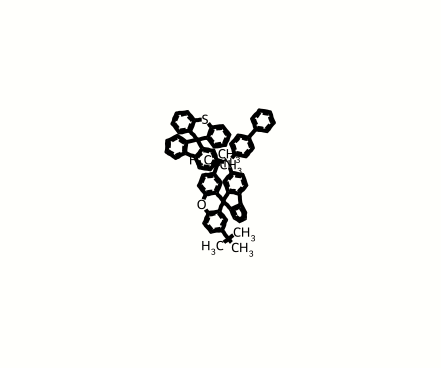 CC(C)(C)c1ccc2c(c1)C1(c3cc(C(C)(C)C)ccc3O2)c2ccccc2-c2ccc(N(c3ccc(-c4ccccc4)cc3)c3ccc4c(c3)C3(c5ccccc5Sc5ccccc53)c3ccccc3-4)cc21